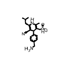 CC1=C(C[SH](=O)=O)C(c2ccc(CN)cc2)C(C#N)=C(CC(C)C)N1